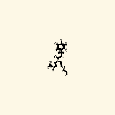 CCCOCCN(CCN(C)C(C)=O)C(=O)CC(C)(C)C1=C(C)C(=O)C(C)=C(C)C1=O